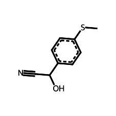 CSc1ccc(C(O)C#N)cc1